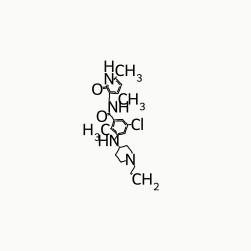 C=CCN1CCC(Nc2cc(Cl)cc(C(=O)NCc3c(C)cc(C)[nH]c3=O)c2C)CC1